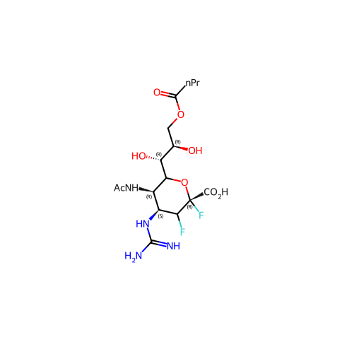 CCCC(=O)OC[C@@H](O)[C@@H](O)C1O[C@@](F)(C(=O)O)C(F)[C@@H](NC(=N)N)[C@H]1NC(C)=O